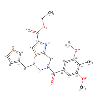 CCOC(=O)c1csc(CN(CCCc2ccsc2)C(=O)c2cc(OC)c(C)c(OC)c2)n1